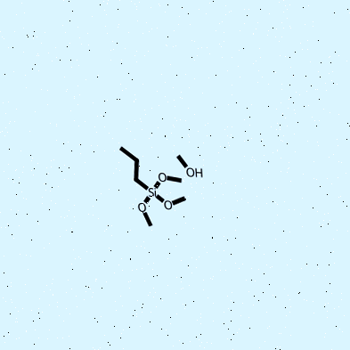 CCC[Si](OC)(OC)OC.CO